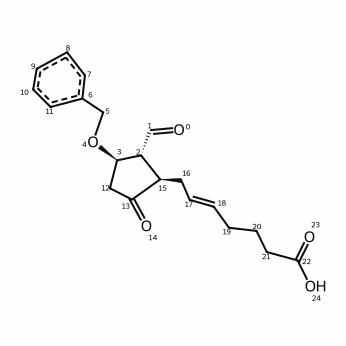 O=C[C@H]1[C@H](OCc2ccccc2)CC(=O)[C@@H]1C/C=C/CCCC(=O)O